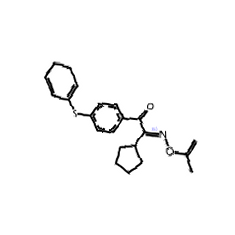 C=C(C)O/N=C(/C(=O)c1ccc(SC2=CCCC=C2)cc1)C1CCCC1